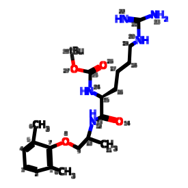 Cc1cccc(C)c1OCC(C)NC(=O)[C@H](CCCCNC(=N)N)NC(=O)OC(C)(C)C